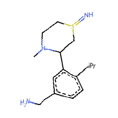 CC(C)c1ccc(CN)cc1C1CS(=N)CCN1C